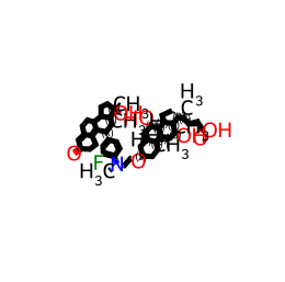 C[C@H](CCC(=O)O)[C@H]1CC[C@H]2[C@@H]3[C@H](O)C[C@@H]4C[C@@H](OCCN(C)c5ccc([C@H]6C[C@@]7(C)C(CC[C@]7(C)O)C7CCC8=CC(=O)CCC8=C76)cc5F)CC[C@]4(C)[C@H]3C[C@H](O)[C@]12C